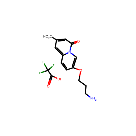 NCCCOc1ccc2cc(C(=O)O)cc(=O)n2c1.O=C(O)C(F)(F)F